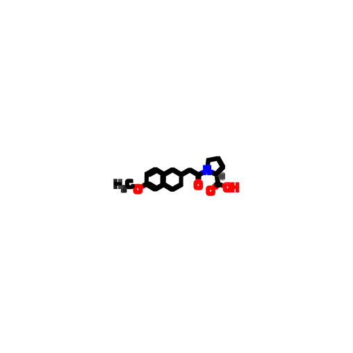 COc1ccc2c(c1)CCC(CC(=O)N1CCC[C@H]1C(=O)O)C2